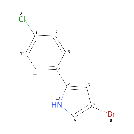 Clc1ccc(-c2cc(Br)c[nH]2)cc1